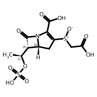 C[C@H](OS(=O)(=O)O)[C@@H]1C(=O)N2C(C(=O)O)=C([S+]([O-])CC(=O)O)C[C@H]12